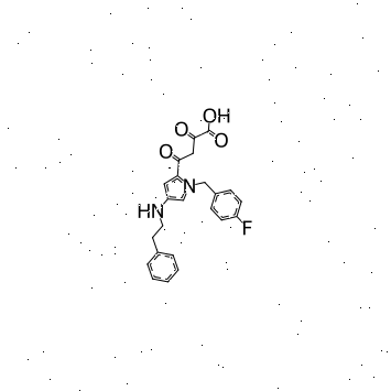 O=C(O)C(=O)CC(=O)c1cc(NCCc2ccccc2)cn1Cc1ccc(F)cc1